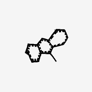 Cc1c2ccc[c]c2cc2ccccc12